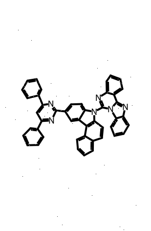 c1ccc(-c2cc(-c3ccccc3)nc(-c3ccc4c(c3)c3c5ccccc5ccc3n4-c3nc4ccccc4c4nc5ccccc5n34)n2)cc1